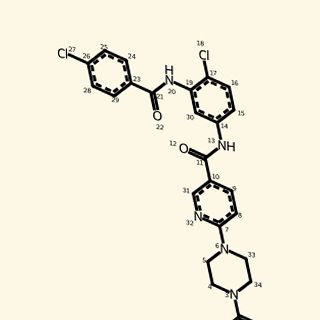 CC(=O)N1CCN(c2ccc(C(=O)Nc3ccc(Cl)c(NC(=O)c4ccc(Cl)cc4)c3)cn2)CC1